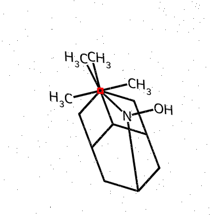 CC(C)(C)C1C2CC3CC1CC(C)(C2)N3O